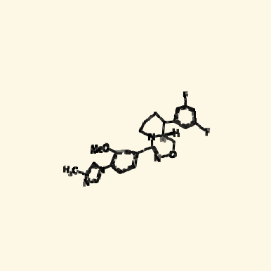 COc1cc(C2=NOC[C@H]3C(c4cc(F)cc(F)c4)CCCN23)ccc1-n1cnc(C)c1